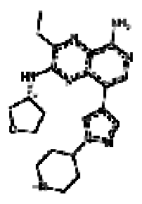 CCc1nc2c(N)ncc(-c3cnn(C4CCNCC4)c3)c2nc1N[C@@H]1CCOC1